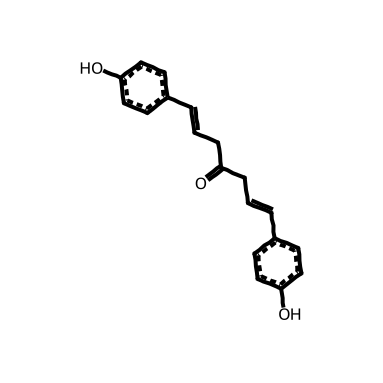 O=C(CC=Cc1ccc(O)cc1)CC=Cc1ccc(O)cc1